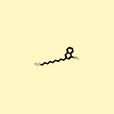 CCCCCCCCCCc1cc(N)c2ccccc2c1